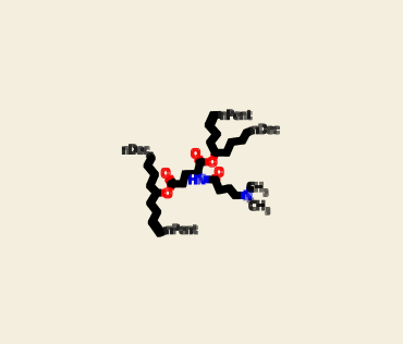 CCCCC/C=C\CCC(CCCCCCCCCCCCCC)OC(=O)CC[C@H](NC(=O)CCCN(C)C)C(=O)OC(CC/C=C\CCCCC)CCCCCCCCCCCCCC